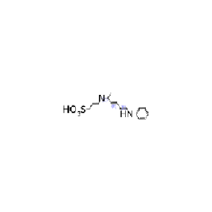 CC(/C=C/C=C/Nc1ccccc1)=N/CCCS(=O)(=O)O